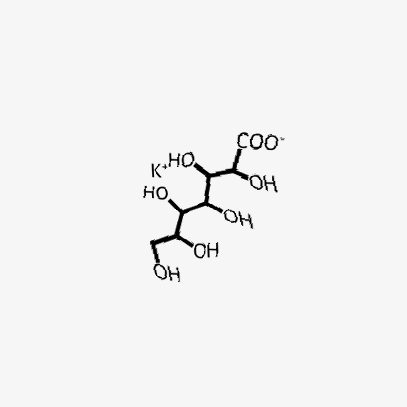 O=C([O-])C(O)C(O)C(O)C(O)C(O)CO.[K+]